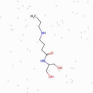 CCCNCCCC(=O)NC(CO)CO